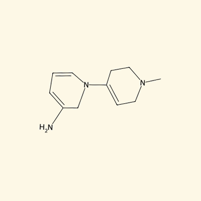 CN1CC=C(N2C=CC=C(N)C2)CC1